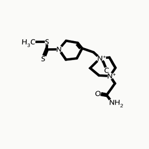 CSC(=S)N1CC=C(C[N+]23CC[N+](CC(N)=O)(CC2)CC3)CC1